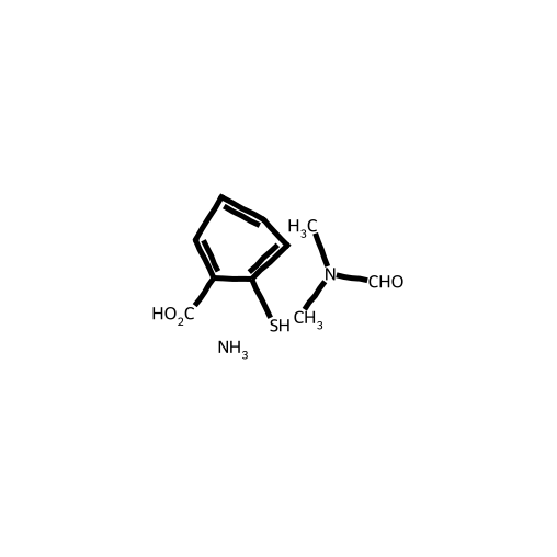 CN(C)C=O.N.O=C(O)c1ccccc1S